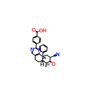 C[C@@H]1C(=O)C(C#N)C[C@@]2(c3ccccc3)c3nc(-c4ccc(C(=O)O)cc4)ncc3CC[C@@H]12